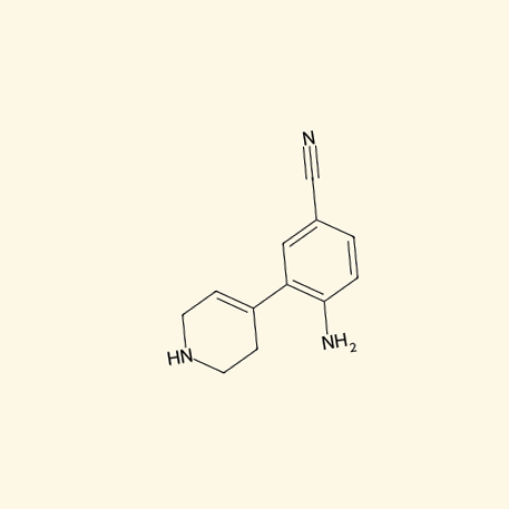 N#Cc1ccc(N)c(C2=CCNCC2)c1